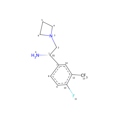 N[C@H](CN1CCC1)c1ccc(F)c(C(F)(F)F)c1